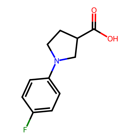 O=C(O)C1CCN(c2ccc(F)cc2)C1